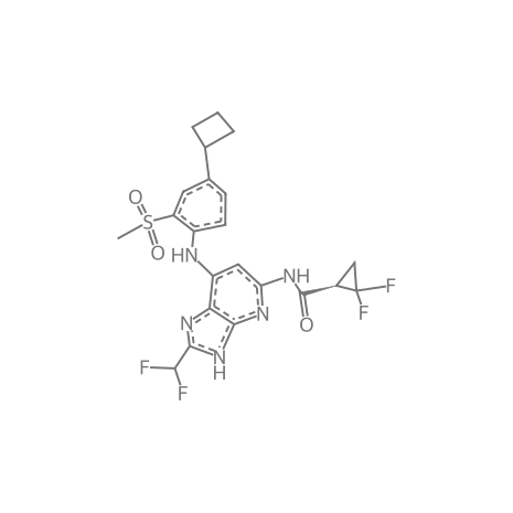 CS(=O)(=O)c1cc(C2CCC2)ccc1Nc1cc(NC(=O)[C@H]2CC2(F)F)nc2[nH]c(C(F)F)nc12